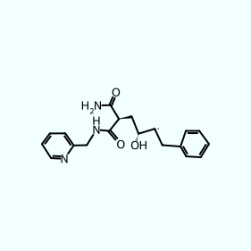 NC(=O)[C@@H](C[C@@H](O)[CH]Cc1ccccc1)C(=O)NCc1ccccn1